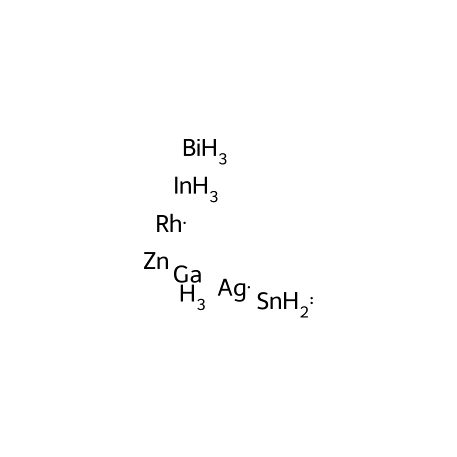 [Ag].[BiH3].[GaH3].[InH3].[Rh].[SnH2].[Zn]